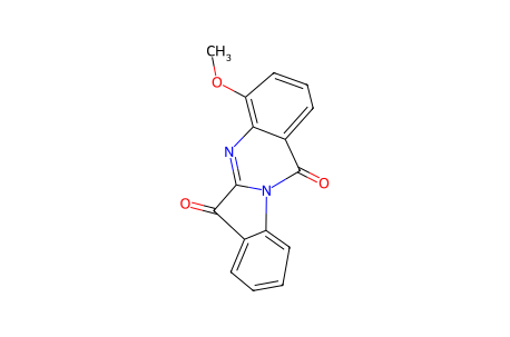 COc1cccc2c(=O)n3c(nc12)C(=O)c1ccccc1-3